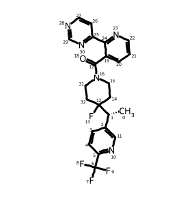 C[C@H](c1ccc(C(F)(F)F)nc1)C1(F)CCN(C(=O)c2cccnc2-c2ccncn2)CC1